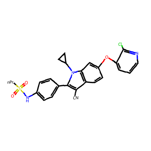 CCCS(=O)(=O)Nc1ccc(-c2c(C#N)c3ccc(Oc4cccnc4Cl)cc3n2C2CC2)cc1